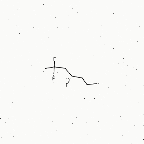 [CH2]CC[C@H](F)CC(C)(F)F